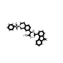 O=C(NC(C(=O)O)c1ccc2c(c1)CN(S(=O)(=O)c1ccccc1)CC2)c1cccc2c1-c1ccccc1C2=O